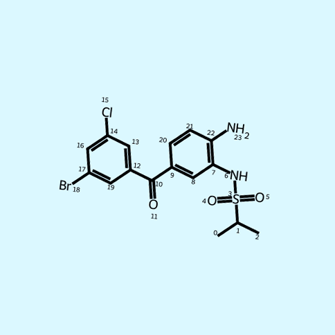 CC(C)S(=O)(=O)Nc1cc(C(=O)c2cc(Cl)cc(Br)c2)ccc1N